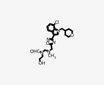 CN(Cc1nc(-c2cn(CC3CCOCC3)c3c(Cl)cccc23)no1)CN(C=O)CCO